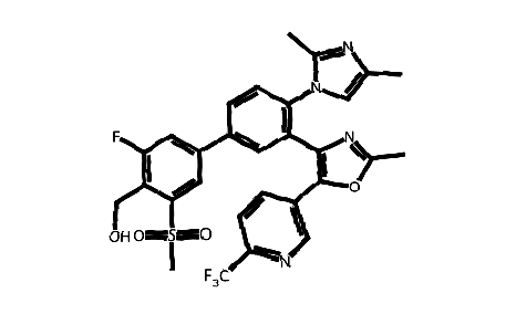 Cc1cn(-c2ccc(-c3cc(F)c(CO)c(S(C)(=O)=O)c3)cc2-c2nc(C)oc2-c2ccc(C(F)(F)F)nc2)c(C)n1